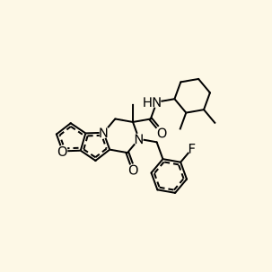 CC1CCCC(NC(=O)C2(C)Cn3c(cc4occc43)C(=O)N2Cc2ccccc2F)C1C